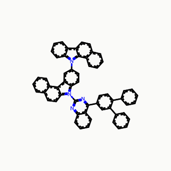 c1ccc(-c2ccc(-c3nc(-n4c5ccc(-n6c7ccccc7c7ccc8ccccc8c76)cc5c5c6ccccc6ccc54)nc4ccccc34)cc2-c2ccccc2)cc1